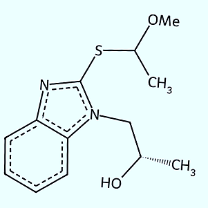 COC(C)Sc1nc2ccccc2n1C[C@H](C)O